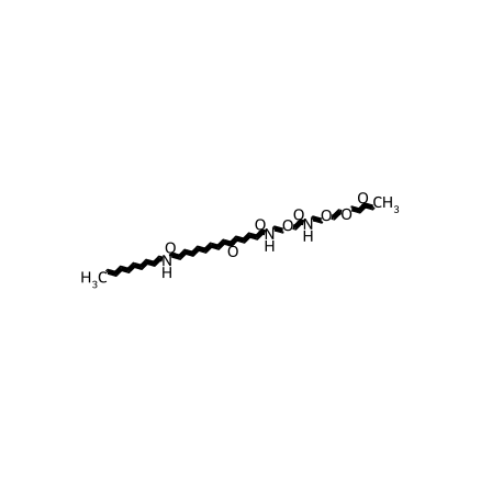 CCCCCCCCCCNC(=O)CCCCCCCCC(=O)CCCCC(=O)NCCOCC(=O)NCCOCCOCCC(=O)CC